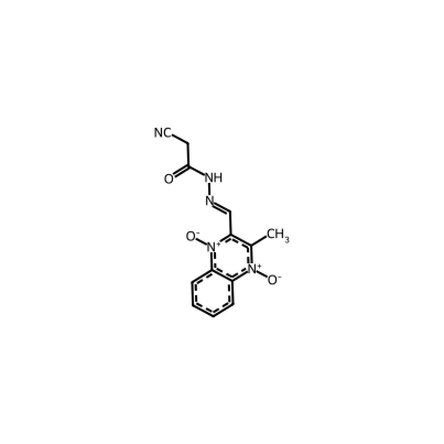 Cc1c(C=NNC(=O)CC#N)[n+]([O-])c2ccccc2[n+]1[O-]